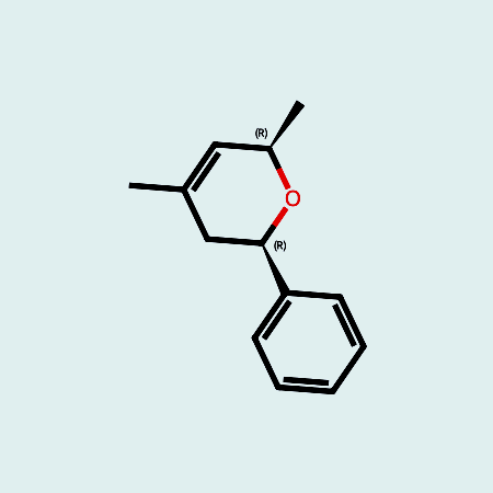 CC1=C[C@@H](C)O[C@@H](c2ccccc2)C1